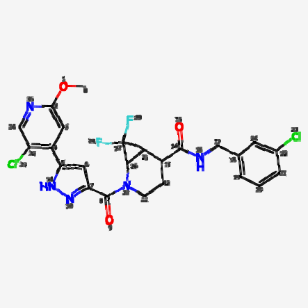 COc1cc(-c2cc(C(=O)N3CCC(C(=O)NCc4cccc(Cl)c4)C4C3C4(F)F)n[nH]2)c(Cl)cn1